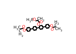 C=C(C)C(=O)Oc1ccc(-c2ccc(-c3ccc(-c4ccc(OC(=O)C(=C)C)cc4)cc3OC(=O)C(=C)COC)cc2)cc1